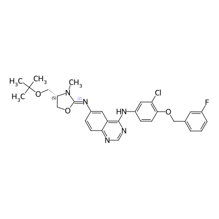 CN1/C(=N/c2ccc3ncnc(Nc4ccc(OCc5cccc(F)c5)c(Cl)c4)c3c2)OC[C@@H]1COC(C)(C)C